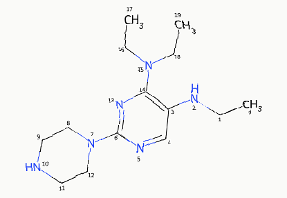 CCNc1cnc(N2CCNCC2)nc1N(CC)CC